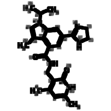 Cc1cc(C)c(CNC(=O)c2cc(C3=NCCN3)cc3c2c(C)cn3C(C)C)c(=O)[nH]1